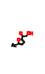 CC(=O)c1ccc(C(=O)CO)o1